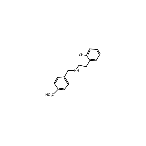 O=C(O)c1ccc(CNCCc2ccccc2Cl)cc1